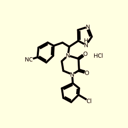 Cl.N#Cc1ccc(CC(c2cnc[nH]2)N2CCN(c3cccc(Cl)c3)C(=O)C2=O)cc1